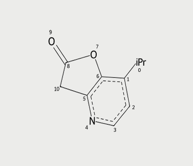 CC(C)c1ccnc2c1OC(=O)C2